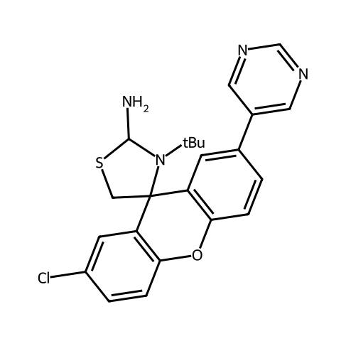 CC(C)(C)N1C(N)SCC12c1cc(Cl)ccc1Oc1ccc(-c3cncnc3)cc12